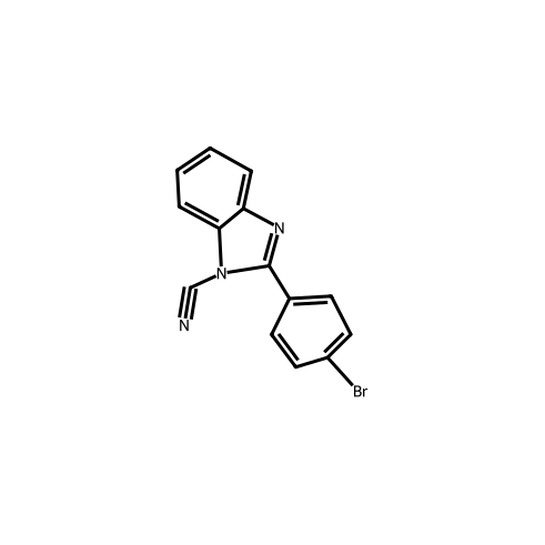 N#Cn1c(-c2ccc(Br)cc2)nc2ccccc21